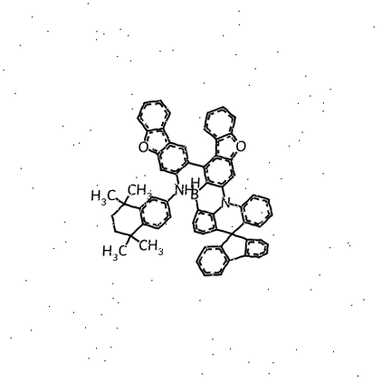 CC1(C)CCC(C)(C)c2cc(Nc3cc4oc5ccccc5c4cc3-c3c4c(cc5oc6ccccc6c35)N3c5ccccc5C5(c6ccccc6-c6ccccc65)c5cccc(c53)B4)ccc21